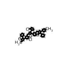 C=C1CC(c2cc(Cl)cc(/C=C3/CC(c4ccccc4Cl)=C(c4cccc(/C=C5/CC(c6ccc(C)cc6)=C(c6ccccc6)C5=O)c4)C3=O)c2)=C(c2ccccc2)C1=O